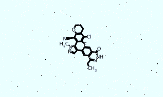 CCc1n[nH]c(=O)c2ccc(-c3cnn(C)c3-c3c(F)c(Cl)c4c(c3C#N)OCCC4)cc12